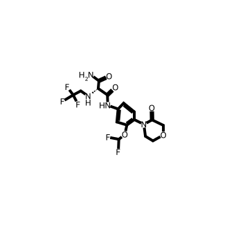 NC(=O)[C@@H](NCC(F)(F)F)C(=O)Nc1ccc(N2CCOCC2=O)c(OC(F)F)c1